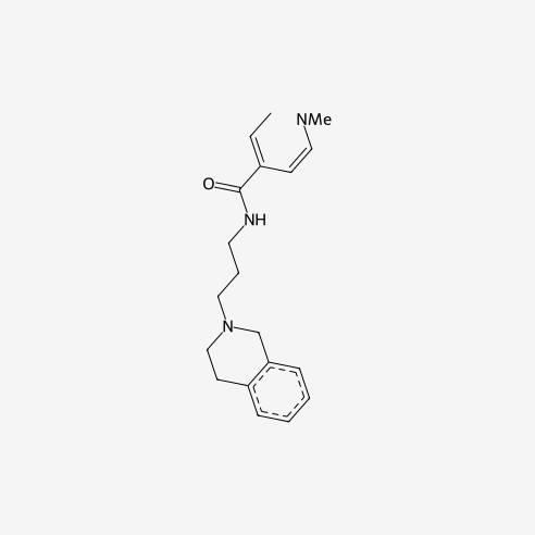 C/C=C(\C=C/NC)C(=O)NCCCN1CCc2ccccc2C1